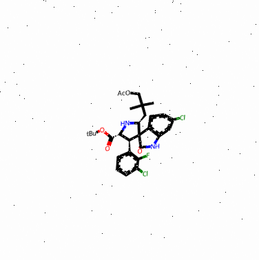 CC(=O)OCC(C)(C)C[C@@H]1N[C@@H](C(=O)OC(C)(C)C)[C@H](c2cccc(Cl)c2F)C12C(=O)Nc1cc(Cl)ccc12